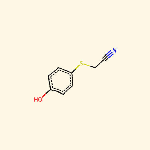 N#CCSc1ccc(O)cc1